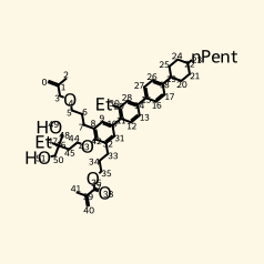 C=C(C)COCCCc1cc(-c2ccc(-c3ccc(C4CCC(CCCCC)CC4)cc3)cc2CC)cc(CCCOC(=O)C(=C)C)c1OCCC(CC)(CO)CO